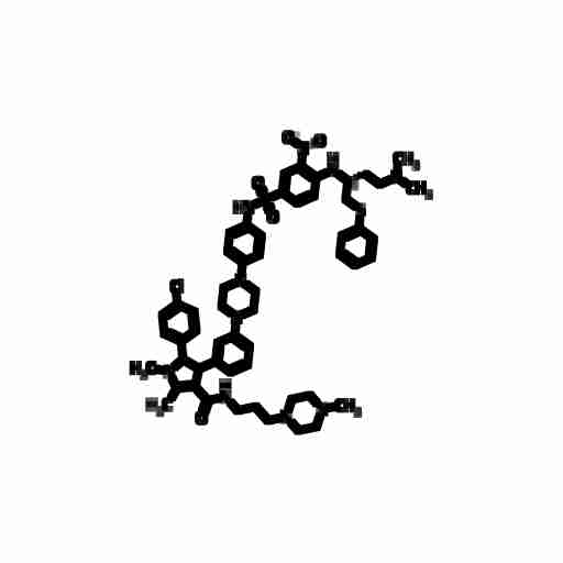 CC1=C(C(=O)NCCCN2CCN(C)CC2)C(c2cccc(N3CCN(c4ccc(NS(=O)(=O)c5ccc(N[C@H](CCN(C)C)CSc6ccccc6)c([N+](=O)[O-])c5)cc4)CC3)c2)C(c2ccc(Cl)cc2)N1C